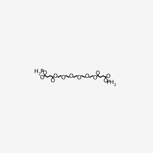 O=C(CCC(=O)OCCOCCOCCOCCOCCOC(=O)CCC(=O)OP)OP